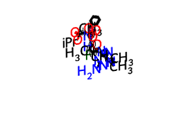 CC(C)OC(=O)[C@H](C)N[P@](=O)(OC[C@H]1O[C@@H](n2cnc3c(N(C)C)nc(N)nc32)[C@](C)(F)[C@@H]1C)Oc1ccccc1